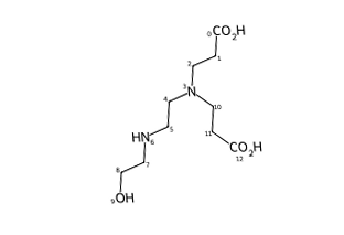 O=C(O)CCN(CCNCCO)CCC(=O)O